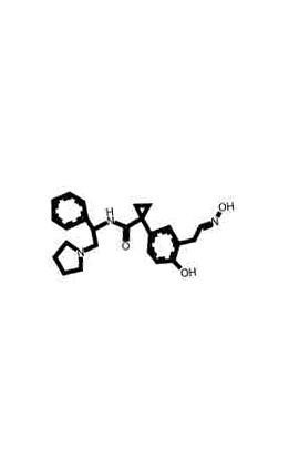 O=C(NC(CN1CCCC1)c1ccccc1)C1(c2ccc(O)c(CC=NO)c2)CC1